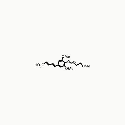 COCCOCOc1c(OC)cc(/C=C/C=C/C(=O)O)cc1OC